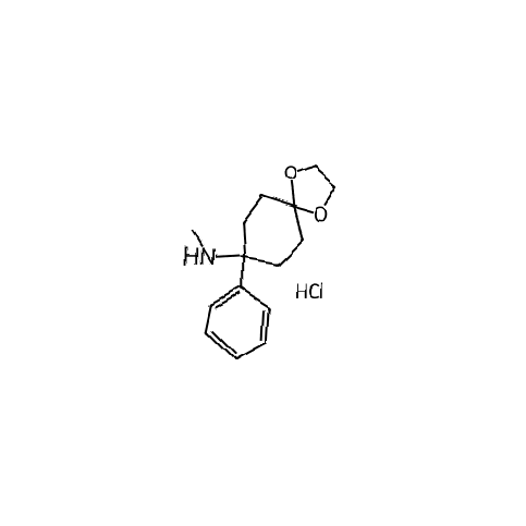 CNC1(c2ccccc2)CCC2(CC1)OCCO2.Cl